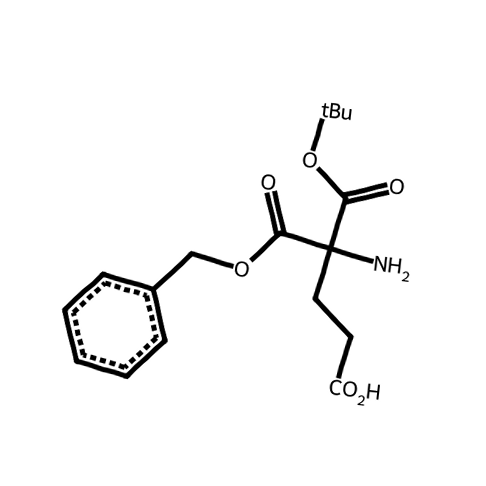 CC(C)(C)OC(=O)C(N)(CCC(=O)O)C(=O)OCc1ccccc1